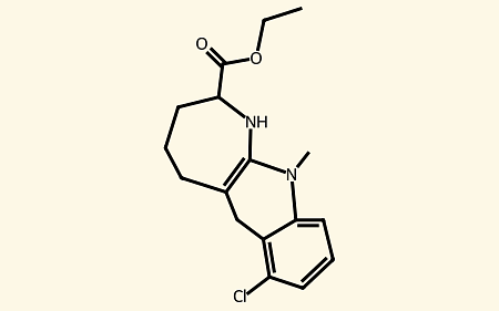 CCOC(=O)C1CCCC2=C(N1)N(C)c1cccc(Cl)c1C2